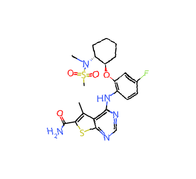 Cc1c(C(N)=O)sc2ncnc(Nc3ccc(F)cc3O[C@@H]3CCCC[C@H]3N(C)S(C)(=O)=O)c12